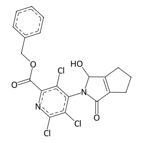 O=C(OCc1ccccc1)c1nc(Cl)c(Cl)c(N2C(=O)C3=C(CCC3)C2O)c1Cl